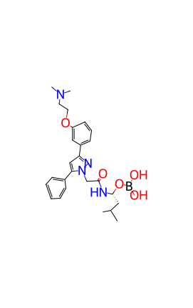 CC(C)C[C@H](NC(=O)Cn1nc(-c2cccc(OCCN(C)C)c2)cc1-c1ccccc1)OB(O)O